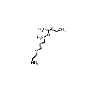 CCOC(C)O[SiH2]CCCNCCN